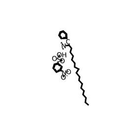 CCCCCCCCCCCCCCCCCC(Cc1ccccc1)N(C)C.O=[N+]([O-])c1cccc(S(=O)(=O)O)c1